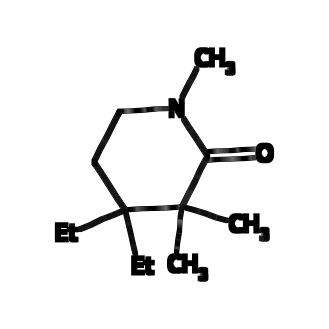 CCC1(CC)CCN(C)C(=O)C1(C)C